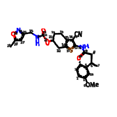 COc1cccc(C(C)CC(=O)Nc2sc3c(c2C#N)CCC(OC(=O)NCc2cc(C)on2)C3)c1